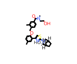 Cc1ccc(OCc2ccc(C(=O)N(C)CCO)cc2C)c(-c2csc(N3C[C@H]4CC[C@@H](C3)[C@H]4C(=O)O)n2)c1